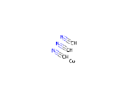 C#N.C#N.C#N.[Cu]